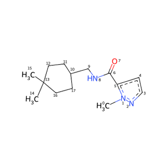 Cn1nccc1C(=O)NCC1CCC(C)(C)CC1